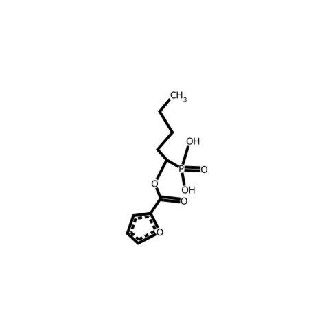 CCCCC(OC(=O)c1ccco1)P(=O)(O)O